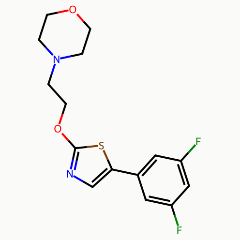 Fc1cc(F)cc(-c2cnc(OCCN3CCOCC3)s2)c1